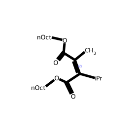 CCCCCCCCOC(=O)/C(C)=C(\C(=O)OCCCCCCCC)C(C)C